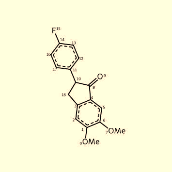 COc1cc2c(cc1OC)C(=O)C(c1ccc(F)cc1)C2